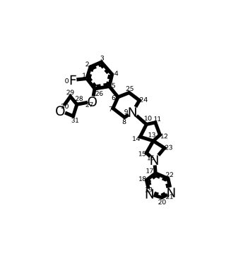 Fc1cccc(C2CCN(C3CCC4(C3)CN(c3cncnc3)C4)CC2)c1OC1COC1